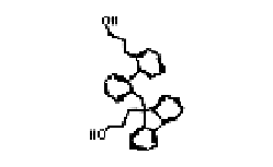 OCCCc1ccccc1-c1ccccc1CC1(CCCO)c2ccccc2-c2ccccc21